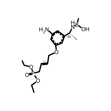 CCOP(=O)(C/C=C/COc1cc(N)cc([C@@H](C)NB(C)O)c1)OCC